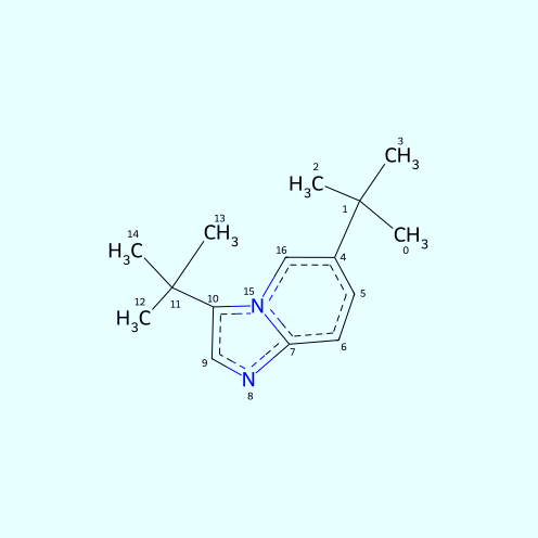 CC(C)(C)c1ccc2ncc(C(C)(C)C)n2c1